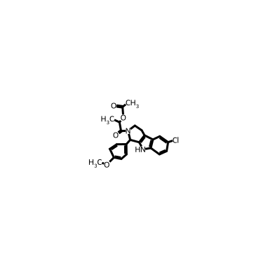 COc1ccc(C2c3[nH]c4ccc(Cl)cc4c3CCN2C(=O)C(C)OC(C)=O)cc1